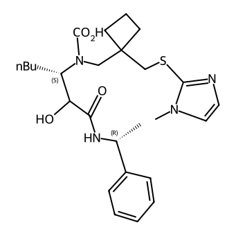 CCCC[C@@H](C(O)C(=O)N[C@H](C)c1ccccc1)N(CC1(CSc2nccn2C)CCC1)C(=O)O